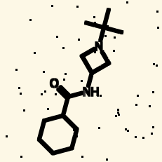 CC(C)(C)N1CC(NC(=O)C2CCCCC2)C1